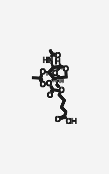 CC(=O)N[C@H]1[C@H]2OC[C@](COCCCCC(=O)O)(O2)[C@H](OC(C)=O)[C@@H]1OC(C)=O